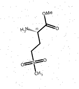 COC(=O)[C@@H](N)CCS(C)(=O)=O